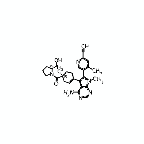 C#Cc1cc(C)c(-c2c(C3=CC[C@](C)(C(=O)N4CCC[C@H]4CO)CC3)c3c(N)ncnc3n2C)cn1